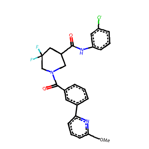 COc1cccc(-c2cccc(C(=O)N3CC(C(=O)Nc4cccc(Cl)c4)CC(F)(F)C3)c2)n1